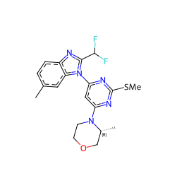 CSc1nc(N2CCOC[C@H]2C)cc(-n2c(C(F)F)nc3ccc(C)cc32)n1